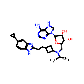 CC(C)N(C[C@H]1O[C@@H](N2CNc3c(N)ncnc32)[C@H](O)[C@@H]1O)C1CC(CCc2nc3cc(C4CC4)ccc3[nH]2)C1